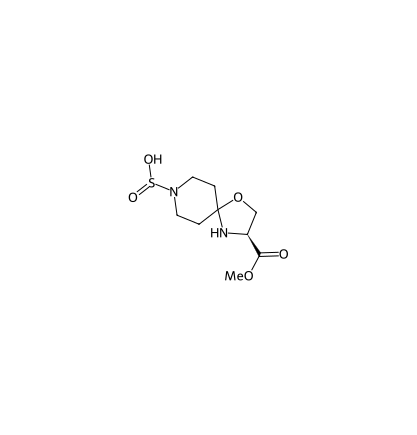 COC(=O)[C@@H]1COC2(CCN(S(=O)O)CC2)N1